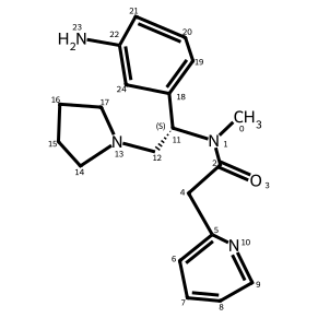 CN(C(=O)Cc1ccccn1)[C@H](CN1CCCC1)c1cccc(N)c1